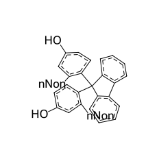 CCCCCCCCCc1cc(O)ccc1C1(c2ccc(O)cc2CCCCCCCCC)c2ccccc2-c2ccccc21